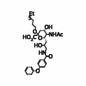 CCSCCCO[C@]1(C(=O)O)C[C@H](O)[C@@H](NC(C)=O)[C@H](C[C@H](O)CNC(=O)c2ccc(Oc3ccccc3)cc2)O1